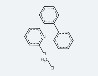 CCl.Clc1ccccn1.c1ccc(-c2ccccc2)cc1